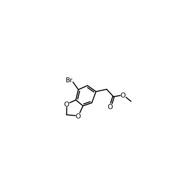 COC(=O)Cc1cc(Br)c2c(c1)OCO2